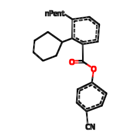 CCCCCc1cccc(C(=O)Oc2ccc(C#N)cc2)c1C1CCCCC1